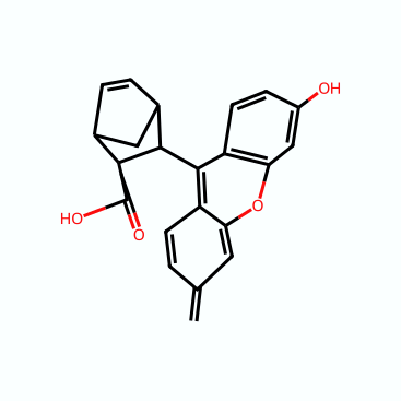 C=c1ccc2c(c1)Oc1cc(O)ccc1C=2C1C2C=CC(C2)C1C(=O)O